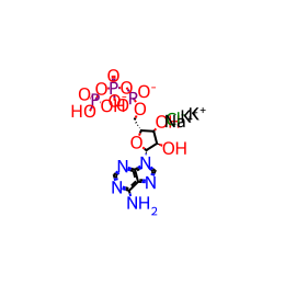 Nc1ncnc2c1ncn2[C@@H]1O[C@H](COP(=O)([O-])OP(=O)([O-])OP(=O)(O)O)[C@@H](O)[C@H]1O.[Cl-].[K+].[K+].[Na+]